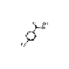 O=C(NO)c1ccc(C(F)(F)F)nc1